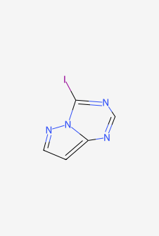 Ic1ncnc2ccnn12